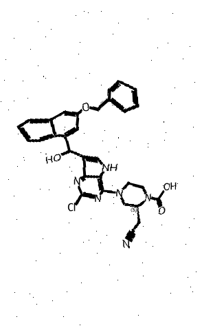 N#CC[C@H]1CN(c2nc(Cl)nc3c(C(O)c4cc(OCc5ccccc5)cc5ccccc45)c[nH]c23)CCN1C(=O)O